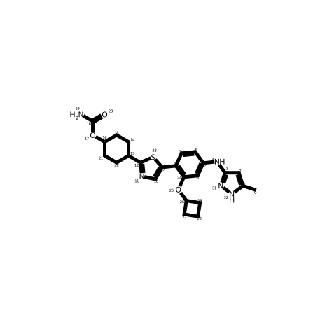 Cc1cc(Nc2ccc(-c3cnc(C4CCC(OC(N)=O)CC4)s3)c(OC3CCC3)c2)n[nH]1